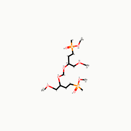 CC(C)OCC(CCP(C)(=O)OC(C)C)OCOC(CCP(C)(=O)OC(C)C)COC(C)C